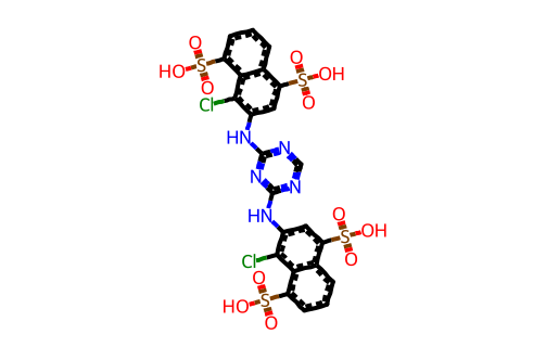 O=S(=O)(O)c1cc(Nc2ncnc(Nc3cc(S(=O)(=O)O)c4cccc(S(=O)(=O)O)c4c3Cl)n2)c(Cl)c2c(S(=O)(=O)O)cccc12